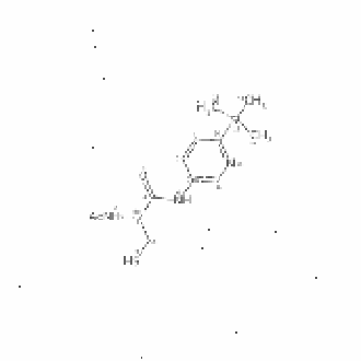 CC(=O)N[C@@H](CS)C(=O)Nc1ccc([Si](C)(C)C)nc1